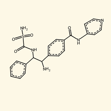 NC(c1ccc(C(=O)Nc2ccncc2)cc1)C(NC(=O)S(N)(=O)=O)c1ccccc1